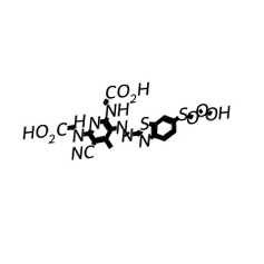 Cc1c(C#N)c(NCC(=O)O)nc(NCC(=O)O)c1N=Nc1nc2ccc(SOOO)cc2s1